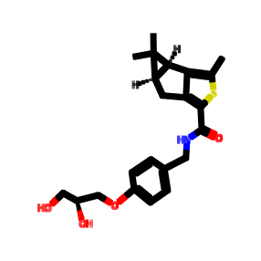 Cc1sc(C(=O)NCc2ccc(OC[C@@H](O)CO)cc2)c2c1[C@H]1[C@@H](C2)C1(C)C